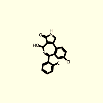 O=C1NCC2=C1C(O)N=C(c1ccccc1Cl)c1cc(Cl)ccc12